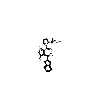 O=C(C1=Cc2ccccc2C1)C1C(=S)CN[C@@H]1C(=O)N1CCC[C@H]1C=NO